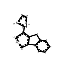 c1ccc2c(c1)Cc1c(-c3ncc[nH]3)cccc1-2